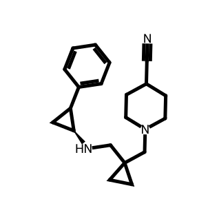 N#CC1CCN(CC2(CN[C@H]3CC3c3ccccc3)CC2)CC1